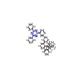 CC1(C)c2ccc(-c3cccc(-c4nc(-c5ccccc5)nc(-c5ccccc5)n4)c3)cc2-c2cccc(-c3ccccc3)c2C1(C)C